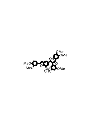 COc1ccc(-c2cc3cc(C(O)c4c(-c5ccc(OC)c(OC)c5)oc5c(OC)cc(C=O)cc45)cc(OC)c3o2)cc1OC